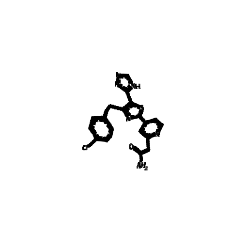 NC(=O)Cc1cc(-c2nc(Cc3ccc(Cl)cc3)c(-c3nnc[nH]3)s2)ccn1